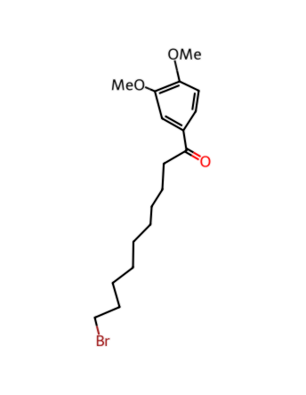 COc1ccc(C(=O)CCCCCCCCCBr)cc1OC